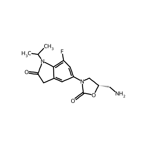 CC(C)N1C(=O)Cc2cc(N3C[C@H](CN)OC3=O)cc(F)c21